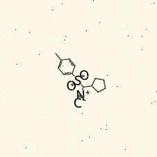 [C-]#[N+]C(C1CCCC1)S(=O)(=O)c1ccc(C)cc1